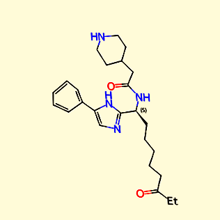 CCC(=O)CCCCC[C@H](NC(=O)CC1CCNCC1)c1ncc(-c2ccccc2)[nH]1